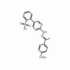 COc1ccc(C(C)=NNc2ncc(-c3ccccc3S(=O)(=O)C(C)C)cn2)cc1